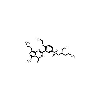 CCCc1nc(C)n2c(=O)[nH]c(-c3cc(S(=O)(=O)NC(CO)CCC)ccc3OCC)nc12